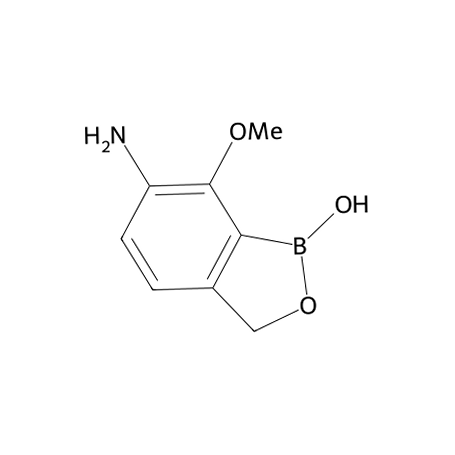 COc1c(N)ccc2c1B(O)OC2